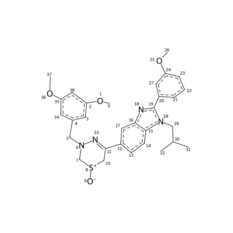 COc1cc(CN2C[S+]([O-])CC(c3ccc4c(c3)nc(-c3cccc(OC)c3)n4CC(C)C)=N2)cc(OC)c1